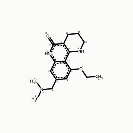 CCOc1cc(CN(C)C)cc2[nH]c(=O)c3c(c12)NCCC3